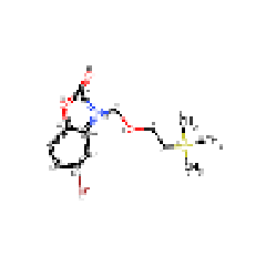 CS(C)(C)CCOCn1c(=O)oc2ccc(Br)cc21